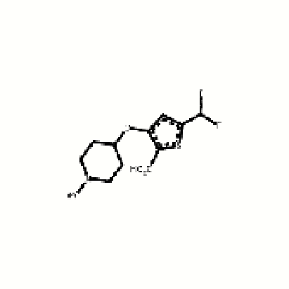 CC(C)N1CCC(Oc2cc(C(F)F)sc2C(=O)O)CC1